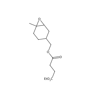 CCOC(=O)CCC(=O)OCC1CCC2(C)OC2C1